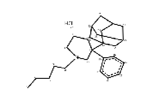 CCCCCN1CCCC(c2ccccc2)(C23CC4CC(CC(C4)C2)C3)C1.Cl